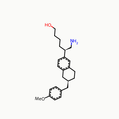 COc1ccc(C[C@@H]2CCc3cc([C@H](CN)CCCCO)ccc3C2)cc1